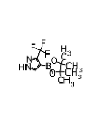 CC1(C)OB(c2c[nH]nc2C(F)(F)F)OC1(C)C